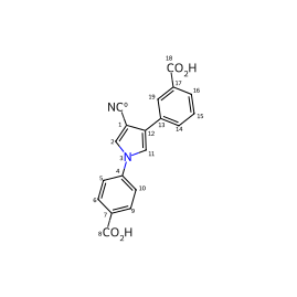 N#Cc1cn(-c2ccc(C(=O)O)cc2)cc1-c1cccc(C(=O)O)c1